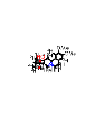 [2H]c1c(OC)c(OC)c([2H])c2c1C1N(C([2H])([2H])C2([2H])[2H])C([2H])([2H])C([2H])(C([2H])([2H])C(C)(C([2H])([2H])[2H])C([2H])([2H])[2H])C([2H])(O)C1([2H])[2H]